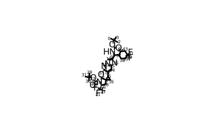 CC(C)(C)OC(=O)N[C@H](c1cn2ncc(C3CC34C[C@@H](C(F)(F)F)N(C(=O)OC(C)(C)C)C4=O)cc2n1)C1CCC(F)(F)CC1